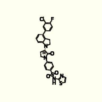 O=C1[C@@H](N2CCc3c(-c4ccc(F)c(Cl)c4)cccc32)CCN1c1ccc(S(=O)(=O)Nc2nccs2)cc1